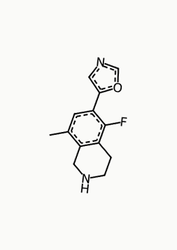 Cc1cc(-c2cnco2)c(F)c2c1CNCC2